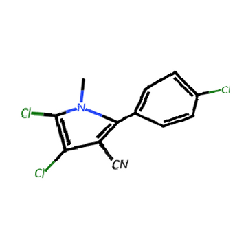 Cn1c(Cl)c(Cl)c(C#N)c1-c1ccc(Cl)cc1